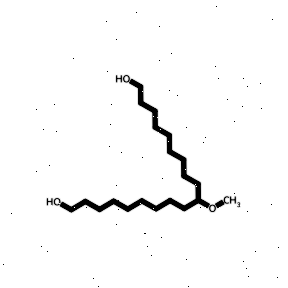 COC(CCCCCCCCCO)CCCCCCCCCO